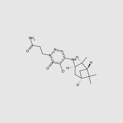 C[C@H]1[C@H]2C[C@H](C[C@H]1Nc1cnn(CCC(N)=O)c(=O)c1Cl)C2(C)C